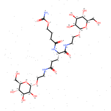 NC(=O)OCCCC(=O)N[C@@H](CCC(=O)NCCO[C@H]1O[C@H](CO)[C@@H](O)[C@H](O)[C@@H]1O)C(=O)NCCO[C@H]1O[C@H](CO)[C@@H](O)[C@H](O)[C@@H]1O